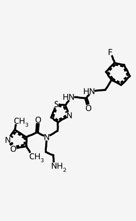 Cc1noc(C)c1C(=O)N(CCN)Cc1csc(NC(=O)NCc2cccc(F)c2)n1